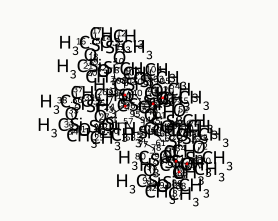 C[Si]([O])(CC[Si](CC[Si]1(C)O[Si](C)(C)O[Si](C)(C)O[Si](C)(C)O1)(CC[Si]1(C)O[Si](C)(C)O[Si](C)(C)O[Si](C)(C)O1)CC[Si]1(C)O[Si](C)(C)O[Si](C)(C)O[Si](C)(C)O1)CC[Si](CC[Si]1(C)O[Si](C)(C)O[Si](C)(C)O[Si](C)(C)O1)(CC[Si]1(C)O[Si](C)(C)O[Si](C)(C)O[Si](C)(C)O1)CC[Si]1(C)O[Si](C)(C)O[Si](C)(C)O[Si](C)(C)O1